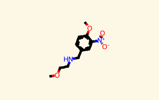 COCCNCc1ccc(OC)c([N+](=O)[O-])c1